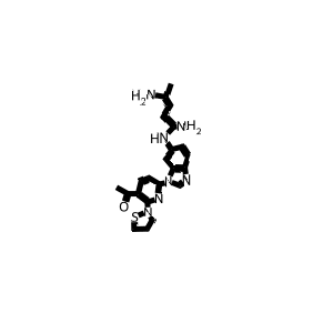 CC(=O)c1ccc(-n2cnc3ccc(N/C(N)=C/C=C(/C)N)cc32)nc1N1CCCS1